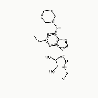 CSc1nc(NN2CCCCC2)c2ncn([C@@H]3O[C@H](CCl)C(O)C3O)c2n1